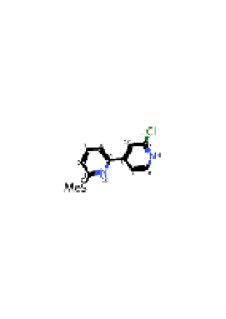 CSc1cccc(-c2ccnc(Cl)c2)n1